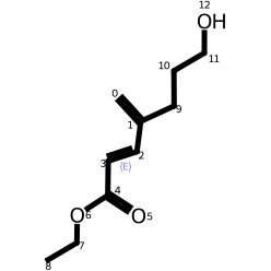 C=C(/C=C/C(=O)OCC)CCCO